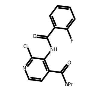 CCCC(=O)c1ccnc(Cl)c1NC(=O)c1ccccc1F